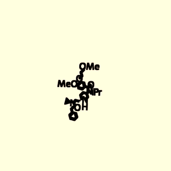 COCCCOc1cc(C(=O)N(C(C)C)C2CC[C@@H](CCN(C(=O)Cc3ccccc3)C3CC3)NC2)ccc1OC